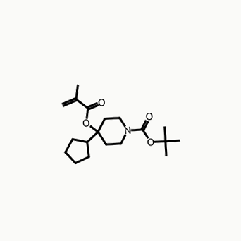 C=C(C)C(=O)OC1(C2CCCC2)CCN(C(=O)OC(C)(C)C)CC1